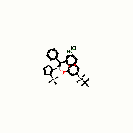 Cc1cc([O][Ti]([C]2=C([Si](C)(C)C)C=CC2)=[C](c2ccccc2)c2ccccc2)cc([Si](C)(C)C(C)(C)C)c1.Cl.Cl